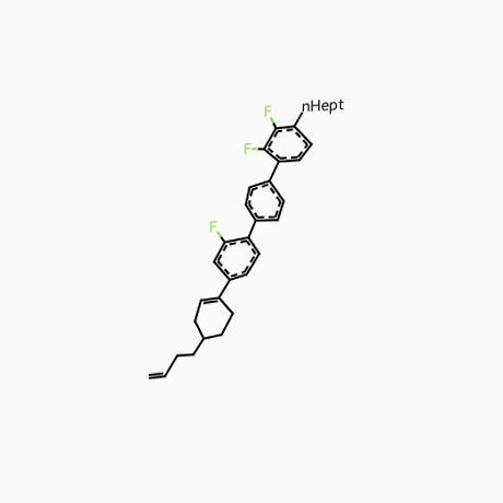 C=CCCC1CC=C(c2ccc(-c3ccc(-c4ccc(CCCCCCC)c(F)c4F)cc3)c(F)c2)CC1